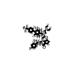 [2H]c1c([2H])c(C([2H])([2H])N(CCN(CC)CC)C(=O)Cn2c(SC([2H])([2H])c3ccc(F)cc3)nc(=O)c3c2CCC3)c([2H])c(C)c1-c1ccc(C(F)(F)F)cc1